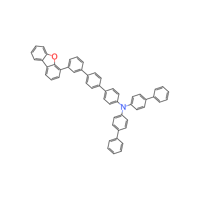 c1ccc(-c2ccc(N(c3ccc(-c4ccccc4)cc3)c3ccc(-c4ccc(-c5cccc(-c6cccc7c6oc6ccccc67)c5)cc4)cc3)cc2)cc1